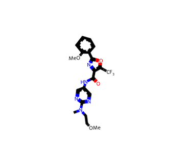 COCCN(C)c1ncc(NC(=O)c2nc(-c3ccccc3OC)oc2C(F)(F)F)cn1